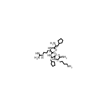 N=C(N)NCCC[C@@H](NC(=O)[C@@H](N)CC1CCCC1)C(=O)N[C@@H](CC1CCCC1)C(=O)N[C@@H](CCCCN)C(N)=O